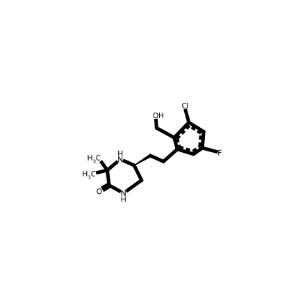 CC1(C)N[C@@H](CCc2cc(F)cc(Cl)c2CO)CNC1=O